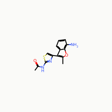 CC(=O)Nc1nc(-c2c(C)oc3c(N)cccc23)cs1